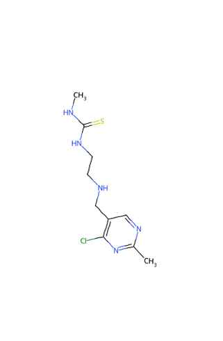 CNC(=S)NCCNCc1cnc(C)nc1Cl